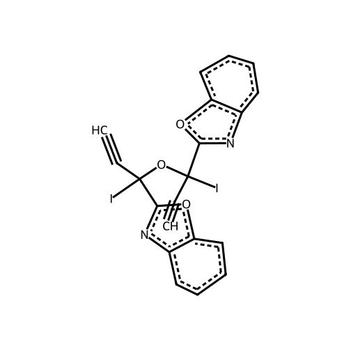 C#CC(I)(OC(I)(C#C)c1nc2ccccc2o1)c1nc2ccccc2o1